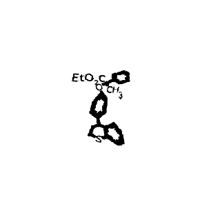 CCOC(=O)C(C)(Oc1ccc(C2CCSc3ccccc32)cc1)c1ccccc1